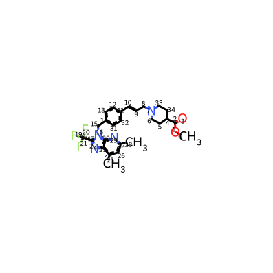 COC(=O)C1CCN(CC=Cc2ccc(Cn3c(C(F)(F)F)nc4c(C)cc(C)nc43)cc2)CC1